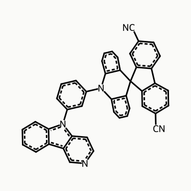 N#Cc1ccc2c(c1)C1(c3cc(C#N)ccc3-2)c2ccccc2N(c2cccc(-n3c4ccccc4c4cnccc43)c2)c2ccccc21